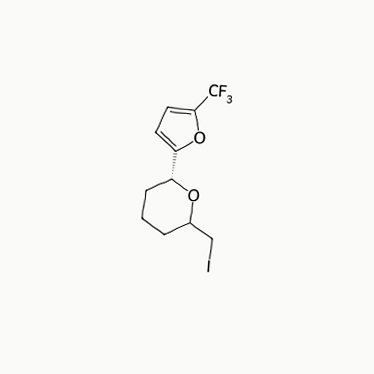 FC(F)(F)c1ccc([C@H]2CCCC(CI)O2)o1